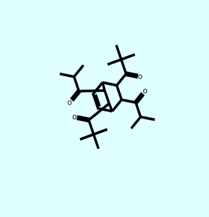 CC(C)C(=O)C1C2C=CC(C(C(=O)C(C)C)C2C(=O)C(C)(C)C)C1C(=O)C(C)(C)C